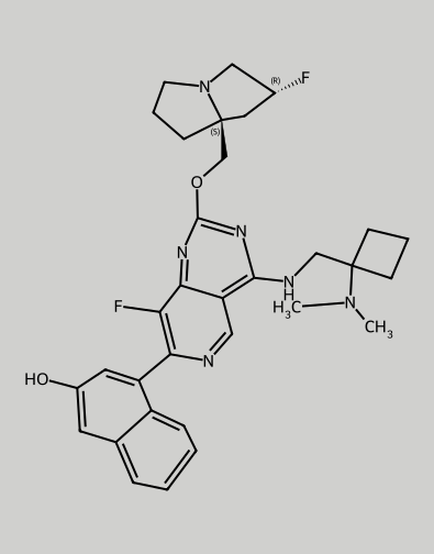 CN(C)C1(CNc2nc(OC[C@@]34CCCN3C[C@H](F)C4)nc3c(F)c(-c4cc(O)cc5ccccc45)ncc23)CCC1